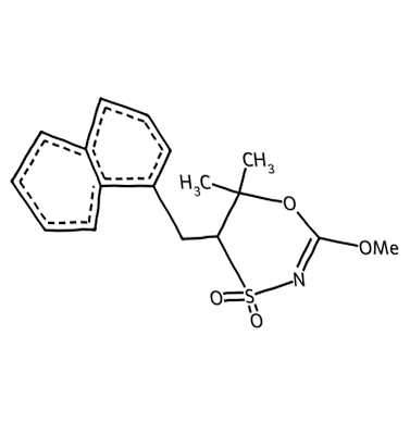 COC1=NS(=O)(=O)C(Cc2cccc3ccccc23)C(C)(C)O1